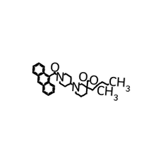 CCCC1(C)CC2(CCCN(C3CCN(C(=O)c4c5ccccc5cc5ccccc45)CC3)C2)C(=O)O1